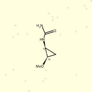 CO[C@@H]1C[C@@H]1NC(N)=O